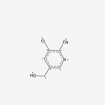 N#Cc1ncc(CO)cc1Cl